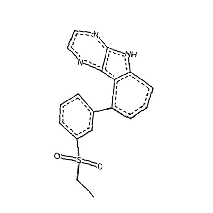 CCS(=O)(=O)c1cccc(-c2cccc3[nH]c4nccnc4c23)c1